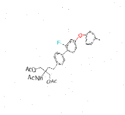 CC(=O)NC(CCc1ccc(-c2ccc(Oc3ccc(C)cc3)cc2F)cc1)(COC(C)=O)COC(C)=O